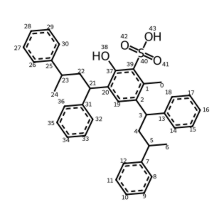 Cc1c(C(CC(C)c2ccccc2)c2ccccc2)cc(C(CC(C)c2ccccc2)c2ccccc2)c(O)c1S(=O)(=O)O